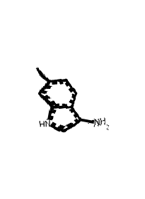 Cc1ccc2c(N)c[nH]c2c1